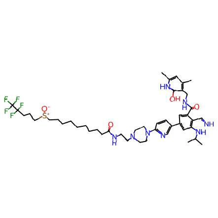 CC1=CC(C)=C(CNC(=O)c2cc(-c3ccc(N4CCN(CCNC(=O)CCCCCCCCC[S+]([O-])CCCC(F)(F)C(F)(F)F)CC4)nc3)cc(NC(C)C)c2C=N)C(O)N1